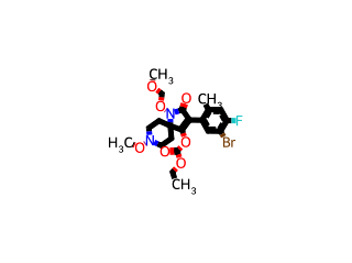 CCOC(=O)OC1=C(c2cc(Br)c(F)cc2C)C(=O)N(OCOC)C12CCN(OC)CC2